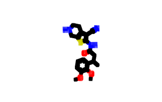 COc1cccc(C(C)CC(=O)Nc2sc3c(c2C#N)CCNC3)c1OC